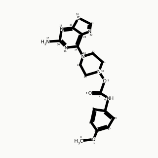 COc1ccc(NC(=O)ON2CCN(c3nc(N)nc4scnc34)CC2)cc1